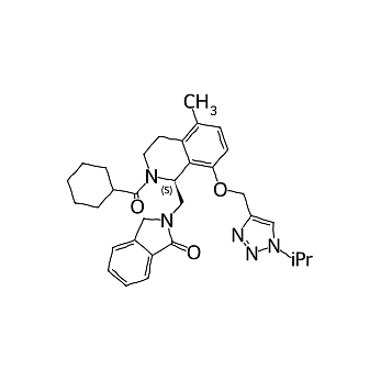 Cc1ccc(OCc2cn(C(C)C)nn2)c2c1CCN(C(=O)C1CCCCC1)[C@@H]2CN1Cc2ccccc2C1=O